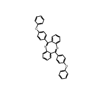 c1ccc(Oc2ccc(/C3=N/c4ccccc4/C(c4ccc(Oc5ccccc5)cc4)=N\c4ccccc43)cc2)cc1